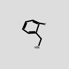 [NH]Cc1ccccc1F